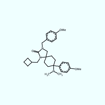 COc1ccc(CN2CC3(CCC(c4ccc(OC)cc4)(N(C)C)CC3)N(CC3CCC3)C2=O)cc1